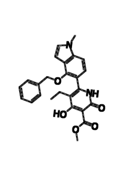 CCc1c(-c2ccc3c(ccn3C)c2OCc2ccccc2)[nH]c(=O)c(C(=O)OC)c1O